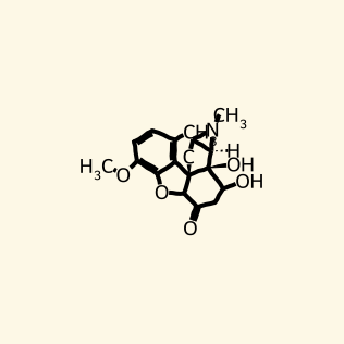 COc1ccc(C)c2c1OC1C(=O)CC(O)[C@@]3(O)[C@H]4C(C[C@]213)N4C